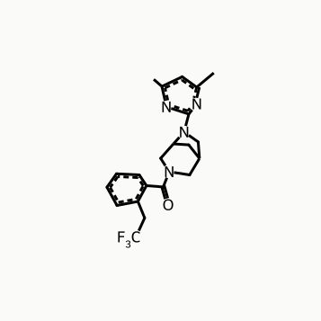 Cc1cc(C)nc(N2CC3CC2CN(C(=O)c2ccccc2CC(F)(F)F)C3)n1